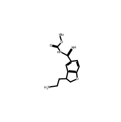 CC(C)(C)OC(=O)NC(=N)c1ccc2c(c1)C(CCN)CO2